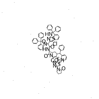 O=C(O)C1=C(Sc2nnc(N3CCCC3=O)s2)C(C(c2ccccc2)c2ccccc2)CC2C(NC(=O)C(=NOC(c3ccccc3)(c3ccccc3)c3ccccc3)c3nc(NC(c4ccccc4)(c4ccccc4)c4ccccc4)sc3Cl)C(=O)N12